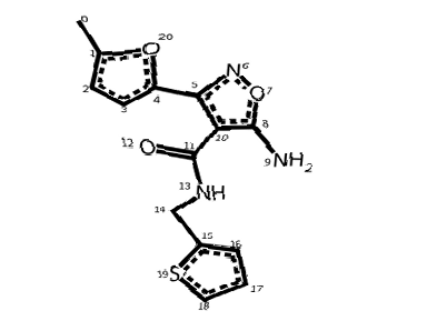 Cc1ccc(-c2noc(N)c2C(=O)NCc2cccs2)o1